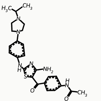 CC(=O)Nc1ccc(C(=O)c2sc(Nc3ccc(N4CCN(C(C)C)CC4)cc3)nc2N)cc1